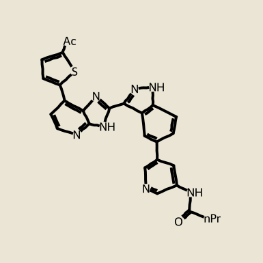 CCCC(=O)Nc1cncc(-c2ccc3[nH]nc(-c4nc5c(-c6ccc(C(C)=O)s6)ccnc5[nH]4)c3c2)c1